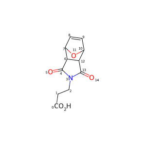 O=C(O)CCN1C(=O)C2C3C=CC(O3)C2C1=O